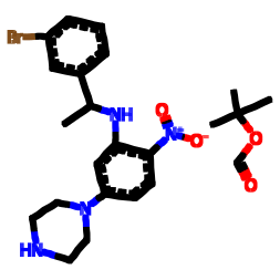 CC(C)(C)OC=O.CC(Nc1cc(N2CCNCC2)ccc1[N+](=O)[O-])c1cccc(Br)c1